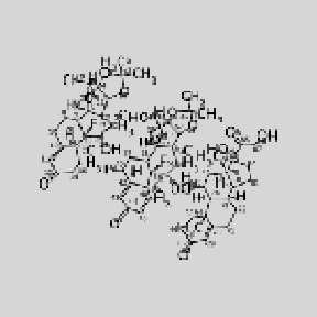 CC1(C)O[C@@H]2C[C@H]3[C@@H]4CCC5=CC(=O)CC[C@]5(C)[C@@]4(F)[C@@H](O)C[C@]3(C)[C@]2(C(=O)CCl)O1.CC1(C)O[C@@H]2C[C@H]3[C@@H]4C[C@H](F)C5=CC(=O)C=C[C@]5(C)[C@@]4(F)[C@@H](O)C[C@]3(C)[C@]2(C(=O)CO)O1.C[C@]12CCC(=O)C=C1CC[C@@H]1[C@@H]2[C@@H](O)C[C@@]2(C)[C@H]1CC[C@]2(O)C(=O)CO